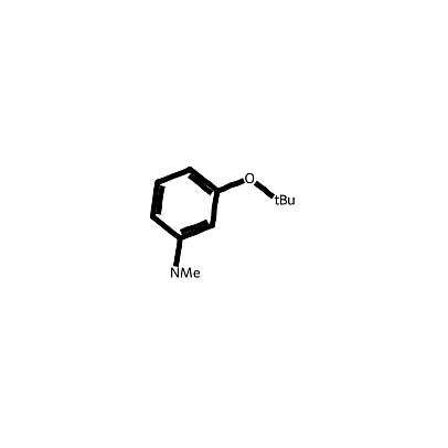 CNc1cccc(OC(C)(C)C)c1